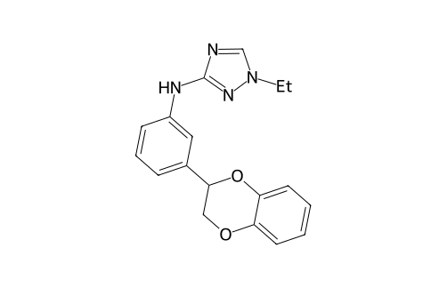 CCn1cnc(Nc2cccc(C3COc4ccccc4O3)c2)n1